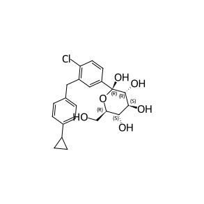 OC[C@H]1O[C@](O)(c2ccc(Cl)c(Cc3ccc(C4CC4)cc3)c2)[C@H](O)[C@@H](O)[C@@H]1O